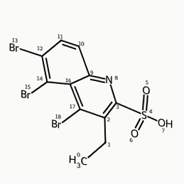 CCc1c(S(=O)(=O)O)nc2ccc(Br)c(Br)c2c1Br